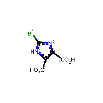 O=C(O)c1nc(Br)[nH]c1C(=O)O